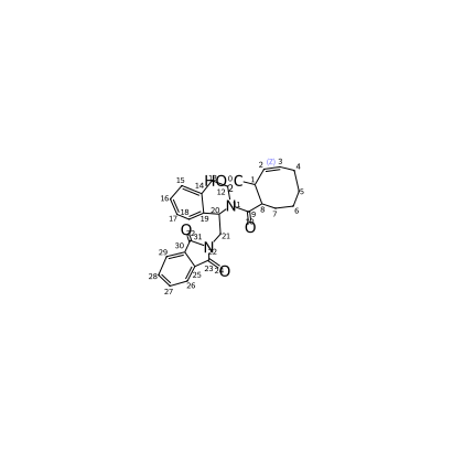 O=C(O)C1/C=C\CCCCC1C(=O)N1CCc2ccccc2C1CN1C(=O)c2ccccc2C1=O